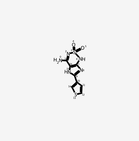 NC1=NS(=O)(=O)Nc2nc(-c3ccsc3)[nH]c21